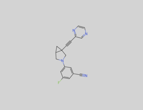 N#Cc1cc(F)cc(N2CC3CC3(C#Cc3cnccn3)C2)c1